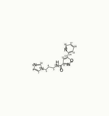 O=C(NCCCn1ccnc1)c1cc(-c2ccccn2)on1